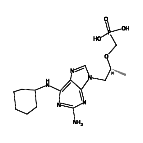 C[C@H](Cn1cnc2c(NC3CCCCC3)nc(N)nc21)OCP(=O)(O)O